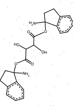 NC1(OC(=O)C(O)C(O)C(=O)OC2(N)CCc3ccccc32)CCc2ccccc21